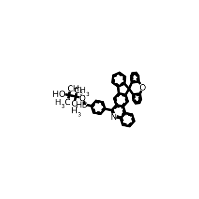 CC(C)(O)C(C)(C)OBc1ccc(-c2nc3ccccc3c3cc4c(cc23)-c2ccccc2C42c3ccccc3Oc3ccccc32)cc1